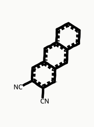 N#Cc1[c]c2cc3ccccc3cc2cc1C#N